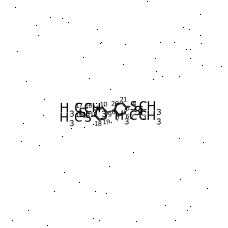 C[Si](C)(C)Sc1ccc(-c2ccc(S[Si](C)(C)C)cc2)cc1